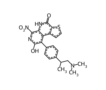 CC(CN(C)C)c1ccc(-c2c(O)nc([N+](=O)[O-])c3[nH]c(=O)c4sccc4c23)cc1